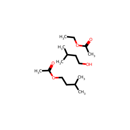 CC(=O)OCCC(C)C.CC(C)CCO.CCOC(C)=O